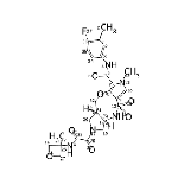 Cc1cc(NC(=O)c2c3c(cn2C)S(=O)(=O)N[C@@H]2CN(C(=O)C(=O)NC4(C)COC4)C[C@@H]2CO3)ccc1F